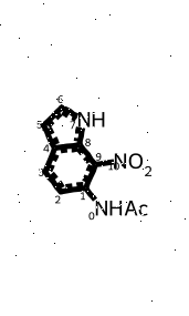 CC(=O)Nc1ccc2[c]c[nH]c2c1[N+](=O)[O-]